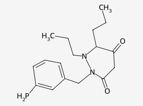 CCCC1C(=O)CC(=O)N(Cc2cccc(P)c2)N1CCC